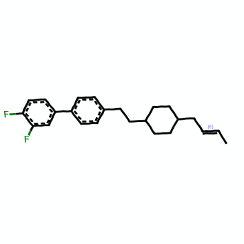 C/C=C/CC1CCC(CCc2ccc(-c3ccc(F)c(F)c3)cc2)CC1